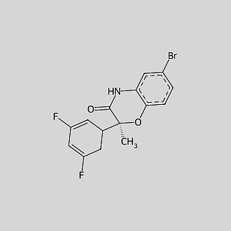 C[C@@]1(C2C=C(F)C=C(F)C2)Oc2ccc(Br)cc2NC1=O